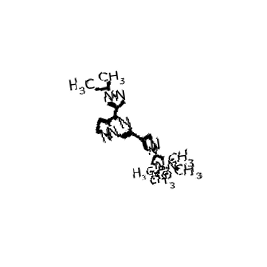 CCC(CC)n1cc(-c2nc(-c3cnn(C4CN(P(=O)(N(C)C)N(C)C)C4)c3)cn3nccc23)cn1